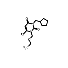 CCOCn1c(Cl)cc(=O)n(CC2CCCC2)c1=O